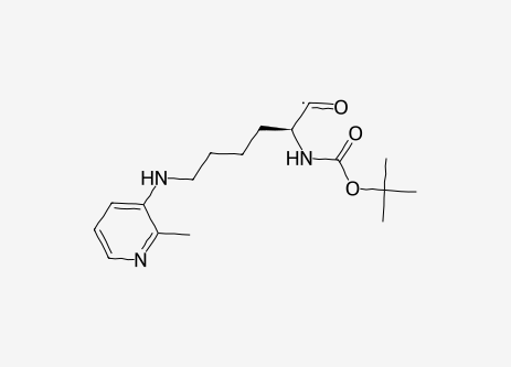 Cc1ncccc1NCCCC[C@@H]([C]=O)NC(=O)OC(C)(C)C